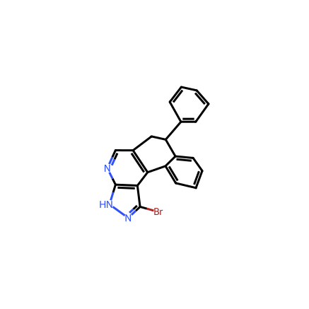 Brc1n[nH]c2ncc3c(c12)-c1ccccc1C(c1ccccc1)C3